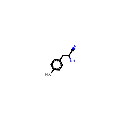 Cc1ccc(CC(N)C#N)cc1